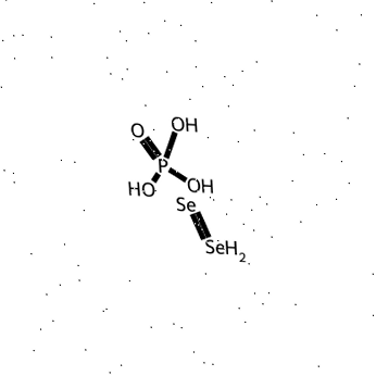 O=P(O)(O)O.[Se]=[SeH2]